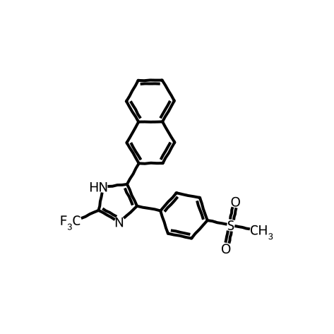 CS(=O)(=O)c1ccc(-c2nc(C(F)(F)F)[nH]c2-c2ccc3ccccc3c2)cc1